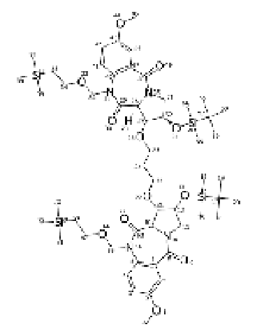 COc1ccc2c(c1)C(=O)N1CC(O[Si](C)(C)C(C)(C)C)C(OCCCOC3[C@H]4C(=O)N(COCC[Si](C)(C)C)c5ccc(OC)cc5C(=O)N4C[C@H]3O[Si](C)(C)C(C)(C)C)C1C(=O)N2COCC[Si](C)(C)C